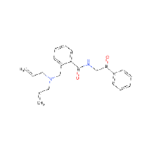 C=CCN(CC=C)Cc1ccccc1C(=O)NCC(=O)c1ccccc1